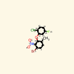 Cc1ccc(Br)c([N+](=O)[O-])c1Oc1cc(F)ccc1Cl